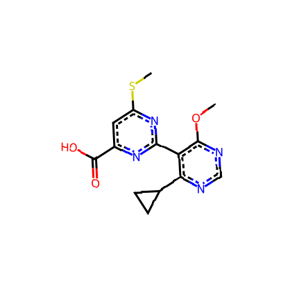 COc1ncnc(C2CC2)c1-c1nc(SC)cc(C(=O)O)n1